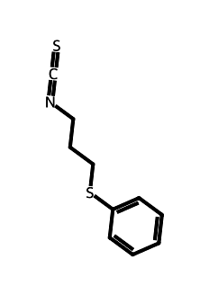 S=C=NCCCSc1ccccc1